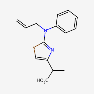 C=CCN(c1ccccc1)c1nc(C(C)C(=O)O)cs1